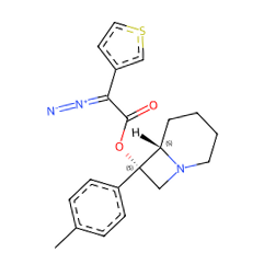 Cc1ccc([C@]2(OC(=O)C(=[N+]=[N-])c3ccsc3)CN3CCCC[C@H]32)cc1